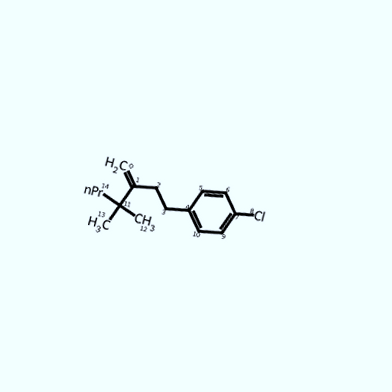 C=C(CCc1ccc(Cl)cc1)C(C)(C)CCC